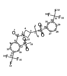 CC(C)(C1CN(C(=O)c2ccc(C(F)(F)F)cc2S(C)(=O)=O)C1)S(=O)(=O)c1cccc(C(F)(F)F)c1